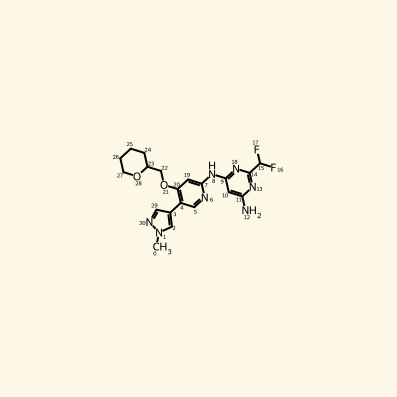 Cn1cc(-c2cnc(Nc3cc(N)nc(C(F)F)n3)cc2OCC2CCCCO2)cn1